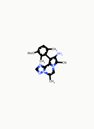 COc1ccc(C)c(-c2c(N)c(C#N)n3cc(C)n4ncnc4c23)c1C